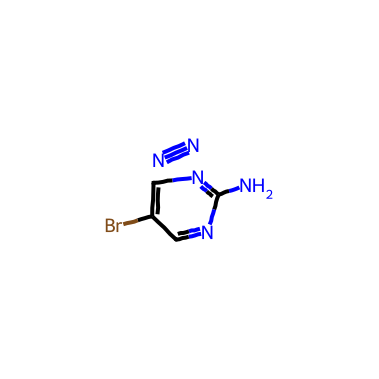 N#N.Nc1ncc(Br)cn1